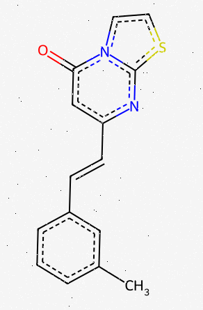 Cc1cccc(/C=C/c2cc(=O)n3ccsc3n2)c1